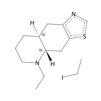 CCI.CCN1CCC[C@H]2Cc3ncsc3C[C@@H]21